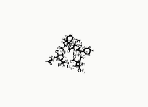 CC(=O)c1c(C(=O)N[C@H](C(=O)N[C@H](C(=O)N2[C@H](C(=O)NC(CCC(F)(F)F)C(=O)C(=O)NC3CC3)C[C@@H]3CCCC[C@@H]32)C(C)(C)C)C2CCCCC2)[nH]c(C)c1C